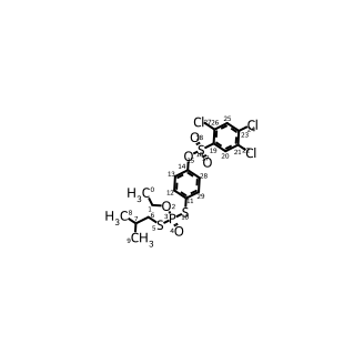 CCOP(=O)(SCC(C)C)Sc1ccc(OS(=O)(=O)c2cc(Cl)c(Cl)cc2Cl)cc1